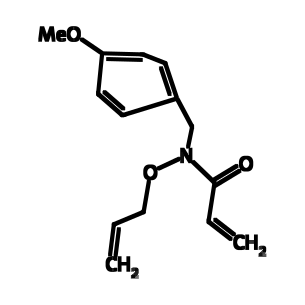 C=CCON(Cc1ccc(OC)cc1)C(=O)C=C